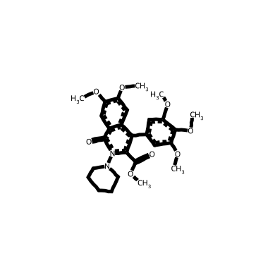 COC(=O)c1c(-c2cc(OC)c(OC)c(OC)c2)c2cc(OC)c(OC)cc2c(=O)n1N1CCCCC1